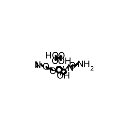 CN(C)CCOCCO[C@H]1CC[C@]2(C)[C@@H](/C=N/OCCN)CC[C@]2(O)C1.O=C(O)C(=O)O